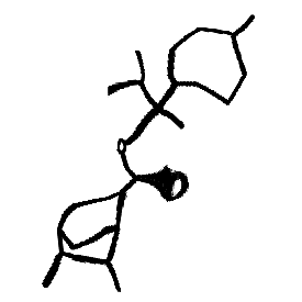 CC1CCC(C(C)(OC(=O)C2CC3CC2C(C)C3C)C(C)C)CC1